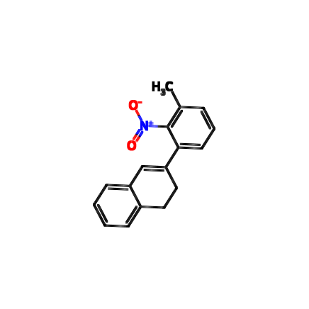 Cc1cccc(C2=Cc3ccccc3CC2)c1[N+](=O)[O-]